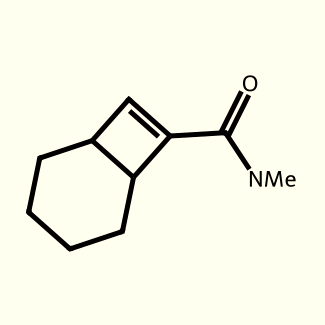 CNC(=O)C1=CC2CCCCC12